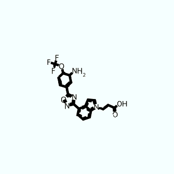 NC1C=C(c2nc(-c3cccc4c3ccn4CCC(=O)O)no2)C=CC1OC(F)(F)F